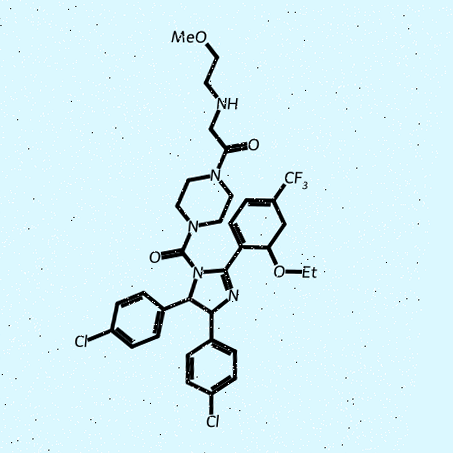 CCOC1CC(C(F)(F)F)=CC=C1C1=NC(c2ccc(Cl)cc2)C(c2ccc(Cl)cc2)N1C(=O)N1CCN(C(=O)CNCCOC)CC1